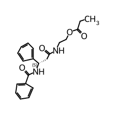 CCC(=O)OCCNC(=O)C[C@H](NC(=O)c1ccccc1)c1ccccc1